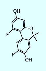 CC1(C)Oc2cc(O)cc(F)c2-c2cc(F)c(O)cc21